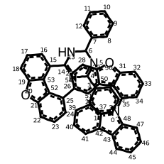 c1ccc(C2=NC(c3ccccc3)NC(c3cccc4oc5cccc(-c6ccc7oc8cccc(-n9c%10ccccc%10c%10ccccc%109)c8c7c6)c5c34)=N2)cc1